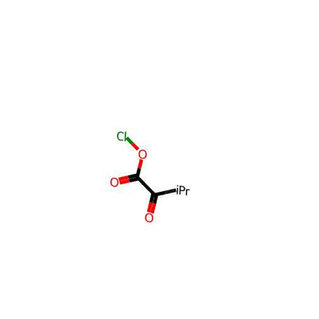 CC(C)C(=O)C(=O)OCl